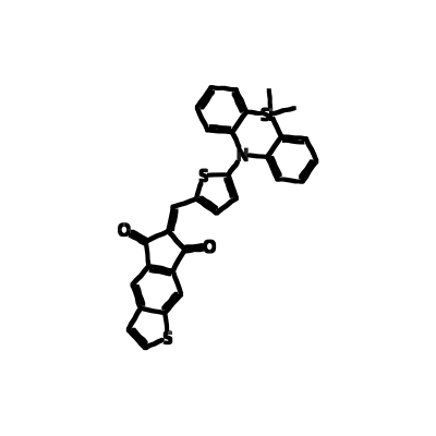 C[Si]1(C)c2ccccc2N(c2ccc(/C=C3/C(=O)c4cc5ccsc5cc4C3=O)s2)c2ccccc21